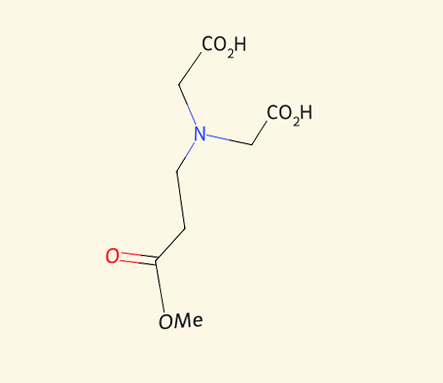 COC(=O)CCN(CC(=O)O)CC(=O)O